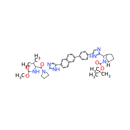 COC(=O)N[C@H](C(=O)N1CCC[C@H]1c1ncc(-c2ccc3cc(-c4ccc(-c5cnc(C6C7CC[C@H](C7)N6C(=O)OC(C)(C)C)[nH]5)cc4)ccc3c2)[nH]1)C(C)C